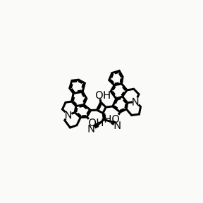 N#CC(C#N)=C1C(c2c(O)c3c4c5c(c6ccccc6cc25)CCN4CCC3)=C(O)C1c1c(O)c2c3c4c(c5ccccc5cc14)CCN3CCC2